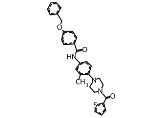 Cc1cc(NC(=O)c2ccc(OCc3ccccc3)cc2)ccc1N1CCN(C(=O)c2cccs2)CC1